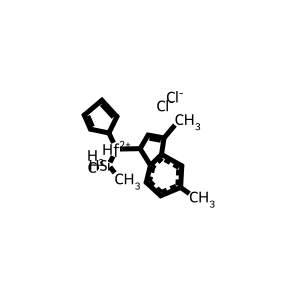 CC1=C[CH]([Hf+2]([CH]2C=CC=C2)[SiH](C)C)c2ccc(C)cc21.[Cl-].[Cl-]